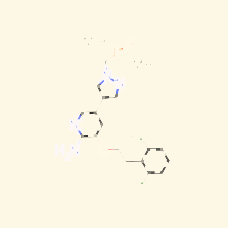 COP(=O)(Cn1cc(-c2cnc(N)c(OCCc3c(Cl)ccc(F)c3Cl)c2)cn1)OC